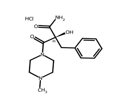 CN1CCN(C(=O)[C@@](O)(Cc2ccccc2)C(N)=O)CC1.Cl